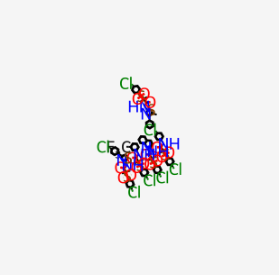 CC(C)(C(=O)Nc1ccc(Cl)cc1)S(=O)(=O)c1ccc(Cl)cc1.CC(C)(C(=O)Nc1ccc2ccccc2n1)S(=O)(=O)c1ccc(Cl)cc1.CC(C)(C(=O)Nc1cccc(C(F)(F)F)c1)S(=O)(=O)c1ccc(Cl)cc1.CC(C)(C(=O)Nc1nc(-c2ccc(Cl)cc2)cs1)S(=O)(=O)c1ccc(Cl)cc1.Cc1sc(NC(=O)C(C)(C)S(=O)(=O)c2ccc(Cl)cc2)nc1-c1ccccc1